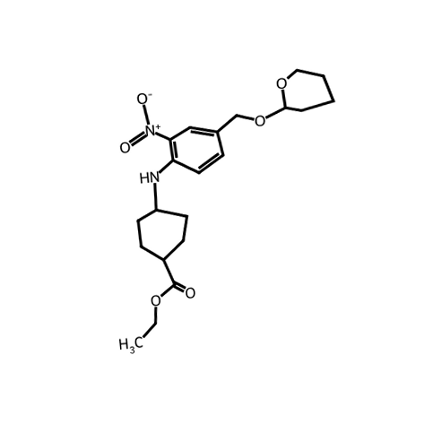 CCOC(=O)C1CCC(Nc2ccc(COC3CCCCO3)cc2[N+](=O)[O-])CC1